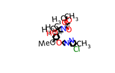 COc1ccc([C@@H]2CN(C(=O)[C@@H]3COC(C)(C)O3)C[C@@]2(C)C(C)O)cc1OC1CN(c2cc(Cl)c(C)cn2)C1